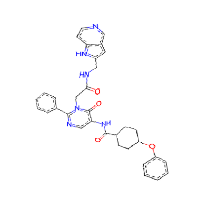 O=C(Cn1c(-c2ccccc2)ncc(NC(=O)C2CCC(Oc3ccccc3)CC2)c1=O)NCc1cc2cnccc2[nH]1